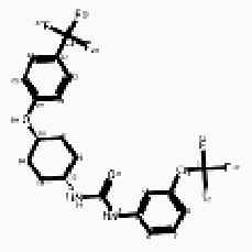 O=C(Nc1cccc(OC(F)(F)F)c1)N[C@H]1CC[C@H](Oc2ccc(C(F)(F)F)cc2)CC1